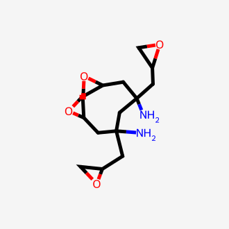 NC(CC1CO1)(CC1CO1)CC(N)(CC1CO1)CC1CO1